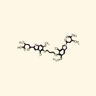 COc1cc2c(c(Cl)c1OCCCOc1c(OC)cc3sc(C(=O)CC(C)C(=O)O)cc3c1Cl)CN(C(=O)CC(C)C(=O)O)C2